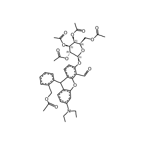 CCN(CC)c1ccc2c(c1)Oc1c(ccc(O[C@@H]3O[C@H](COC(C)=O)[C@H](OC(C)=O)[C@H](OC(C)=O)[C@H]3OC(C)=O)c1C=O)C2c1ccccc1COC(C)=O